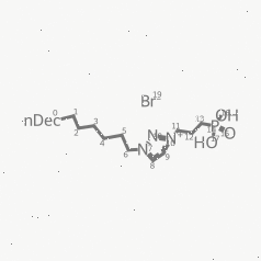 CCCCCCCCCCCCCCCCn1cc[n+](CCCP(=O)(O)O)n1.[Br-]